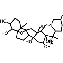 CC1CCC2N(C1)CC1C3(O)CC45OC6(O)C(O)CCC4(C)C6CCC5C3(O)CC(O)C1(O)C2(C)O